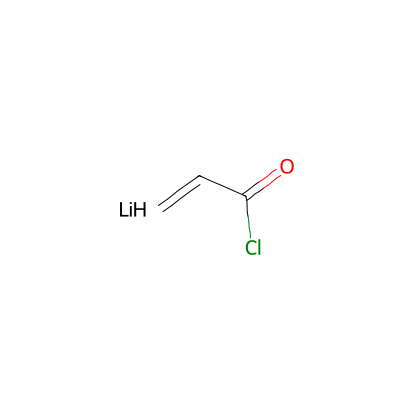 C=CC(=O)Cl.[LiH]